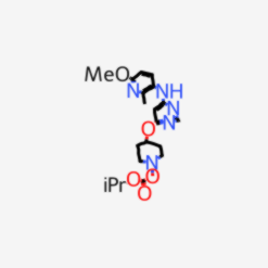 COc1ccc(Nc2cc(OC3CCN(OC(=O)OC(C)C)CC3)ncn2)c(C)n1